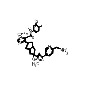 Cn1cnc(C2CC3CC(O)(c4cc(-c5ccc(CN)nc5)nn4C)CC3C2)c1C(=O)Nc1ccc(F)c(Cl)c1